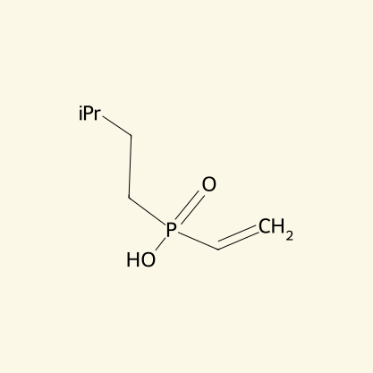 C=CP(=O)(O)CCC(C)C